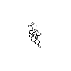 CC(=O)O[C@H]1CC[C@H]2[C@@H]3CCC4=CC(=O)CC[C@@H]4[C@H]3/C(=C/F)C[C@]12C